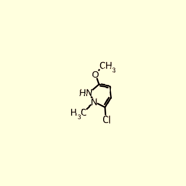 COC1=CC=C(Cl)N(C)N1